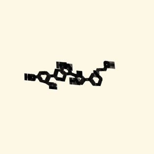 CCc1cc(O)ccc1-c1ccc2c(-c3nc(C4=CCCN(CCO)C4)c[nH]3)n[nH]c2c1